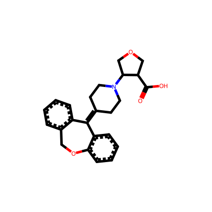 O=C(O)C1COCC1N1CCC(=C2c3ccccc3COc3ccccc32)CC1